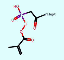 C=C(C)C(=O)OOP(=O)(O)CC(=O)CCCCCCC